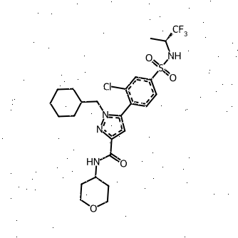 C[C@H](NS(=O)(=O)c1ccc(-c2cc(C(=O)NC3CCOCC3)nn2CC2CCCCC2)c(Cl)c1)C(F)(F)F